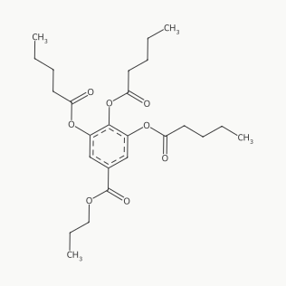 CCCCC(=O)Oc1cc(C(=O)OCCC)cc(OC(=O)CCCC)c1OC(=O)CCCC